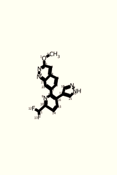 COc1cc2ccc(-c3nc(C(F)F)ccc3-c3cn[nH]c3)cc2nn1